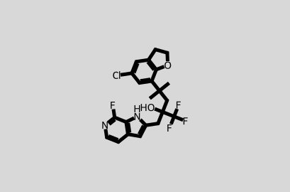 CC(C)(CC(O)(Cc1cc2ccnc(F)c2[nH]1)C(F)(F)F)c1cc(Cl)cc2c1OCC2